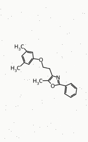 Cc1cc(C)cc(OCCc2nc(-c3ccccc3)oc2C)c1